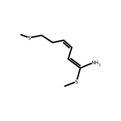 CSCC/C=C\C=C(/N)SC